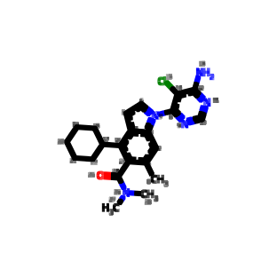 Cc1cc2c(ccn2-c2ncnc(N)c2Cl)c(C2CCCCC2)c1C(=O)N(C)C